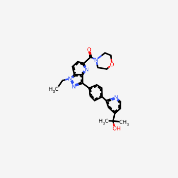 CCn1nc(-c2ccc(-c3cc(C(C)(C)O)ccn3)cc2)c2nc(C(=O)N3CCOCC3)ccc21